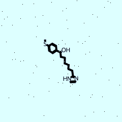 CSc1ccc(C(O)CCCCCCc2ncc[nH]2)cc1